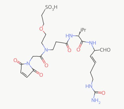 CC(C)[C@H](NC(=O)CCN(CCOCCS(=O)(=O)O)C(=O)CN1C(=O)C=CC1=O)C(=O)NC(C=O)/C=C/CCNC(N)=O